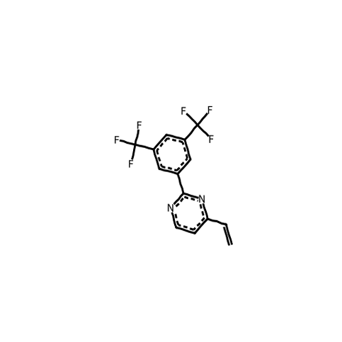 C=Cc1ccnc(-c2cc(C(F)(F)F)cc(C(F)(F)F)c2)n1